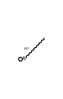 CCCCCCCCCCCCCCCC[N+](C)(C)C1CCCCC1.[OH-]